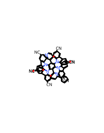 N#Cc1ccc2c(c1)c1cc(C#N)ccc1n2-c1c(-c2cccnc2)c(-n2c3ccc(C#N)cc3c3cc(C#N)ccc32)c(-n2c3ccc(C#N)cc3c3cc(C#N)ccc32)c(-c2cccc(-c3ccccc3)n2)c1-n1c2ccc(C#N)cc2c2cc(C#N)ccc21